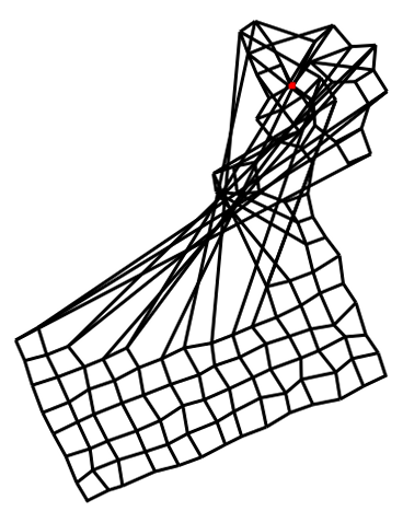 C1C2C3C4CC5C6C7C8C9C%10C%11C%12CC%13C%14C%15C%16C%17C%18C%19C%20C%21C%22C%23C%24CC%25C%26C%27C%28C%29C%30C%31C1C21C2C%32C%33C3%34C3C%35C%36C4%37C4C%38C5C65C76C87C98C%109C%11%10C%12%13C%14%11C%15%12C%16%13C%17%14C%18%15C%19%16C%20%17C%21%18C%22%19C%23%20C%25%24C%26%21C%27%22C%28%23C%29%24C%30%25C%311C21C%322C%33%26C%34%27C3%28C%353C%36%29C%37%30C4%31C%385C64C75C86C97C%10%11C%128C%139C%14%10C%15%11C%16%12C%17%13C%18%14C%19%15C%21%20C%22%16C%23%17C%24%18C%251C21C%262C%27%19C%28%20C3%21C%293C%30%22C%314C54C65C78C96C%107C%118C%129C%13%10C%14%11C%16%15C%17%12C%181C21C%192C%20%13C%21%14C3%15C%224C56C7%15C8%14C9%13C%102C%12%111